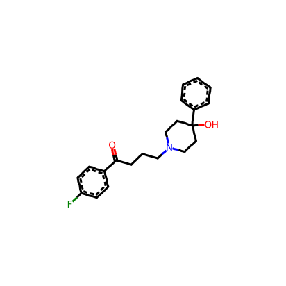 O=C(CCCN1CCC(O)(c2ccccc2)CC1)c1ccc(F)cc1